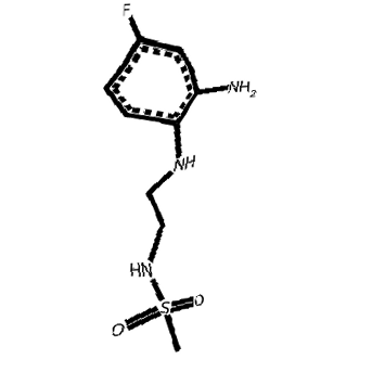 CS(=O)(=O)NCCNc1ccc(F)cc1N